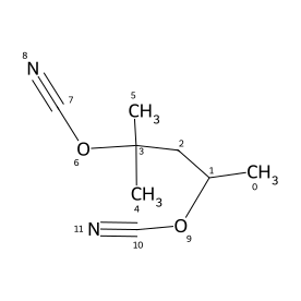 CC(CC(C)(C)OC#N)OC#N